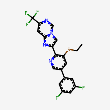 CCSc1cc(-c2cc(F)cc(F)c2)cnc1-c1cn2cnc(C(F)(F)F)cc2n1